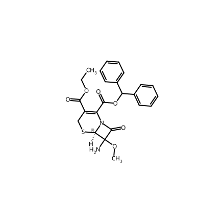 CCOC(=O)C1=C(C(=O)OC(c2ccccc2)c2ccccc2)N2C(=O)C(N)(OC)[C@H]2SC1